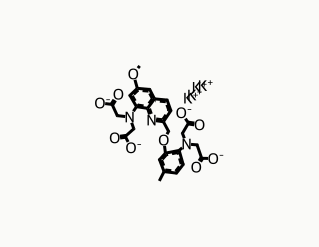 COc1cc(N(CC(=O)[O-])CC(=O)[O-])c2nc(COc3cc(C)ccc3N(CC(=O)[O-])CC(=O)[O-])ccc2c1.[K+].[K+].[K+].[K+]